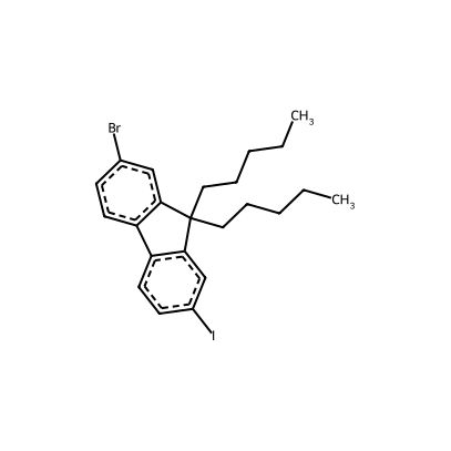 CCCCCC1(CCCCC)c2cc(Br)ccc2-c2ccc(I)cc21